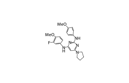 COc1ccc(Nc2nc(Nc3ccc(OC)c(F)c3)cc(N3CCCC3)n2)cc1